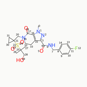 Cn1nc(C(=O)NCc2ccc(F)cc2)c2c1C(=O)N(CC1(S(=O)(=O)C(C)(C)CO)CC1)CC2